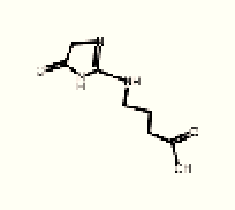 O=C(O)CCCNC1=NCC(=O)N1